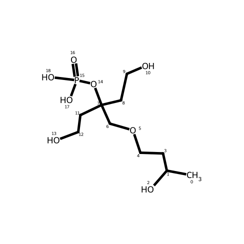 CC(O)CCOCC(CCO)(CCO)OP(=O)(O)O